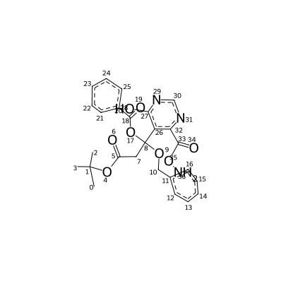 CC(C)(C)OC(=O)CC(OCc1ccccc1)(OC(=O)c1ccccc1)c1c(O)ncnc1C(=O)ON